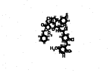 CCC(CC)(C(=O)OCc1ccccc1)[C@H]1CC[C@@H](c2cccc(F)c2)N1C(=O)[C@@H](C)NC(=O)c1ccc(Cc2cc(C)n[nH]c2=O)c(Cl)c1